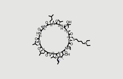 C/C=C/C[C@@H](C)[C@@H](O)[C@H]1C(=O)N[C@H](CC)C(=O)N(C)[C@H](CSCCCCN(CC)CC)C(=O)N(C)[C@@H](CC(C)(C)O)C(=O)N[C@H](C(C)C)C(=O)N(C)[C@H](CCC(C)C)C(=O)N[C@H](C)C(=O)N[C@@H](C)C(=O)N(C)[C@@H](CC(C)C)C(=O)N(C)[C@H](CC(C)C)C(=O)N(C)[C@H](C(C)C)C(=O)N1C